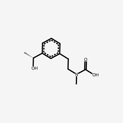 C[C@@H](O)c1cccc(CCN(C)C(=O)O)c1